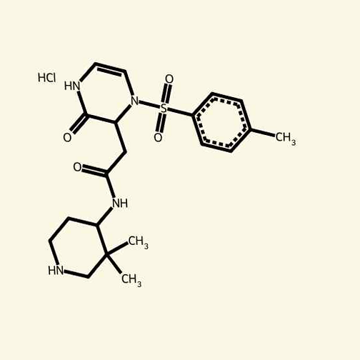 Cc1ccc(S(=O)(=O)N2C=CNC(=O)C2CC(=O)NC2CCNCC2(C)C)cc1.Cl